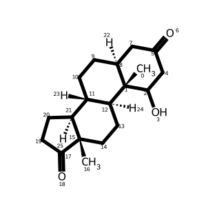 C[C@]12C(O)CC(=O)C[C@@H]1CC[C@@H]1[C@@H]2CC[C@]2(C)C(=O)CC[C@@H]12